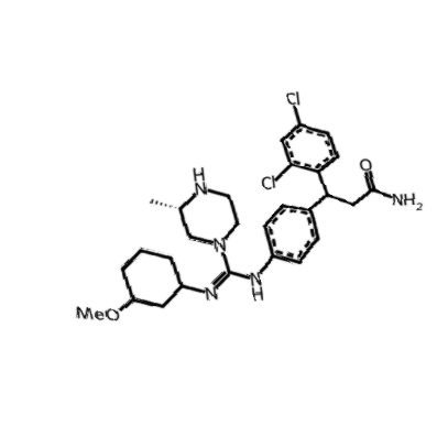 COC1CCCC(/N=C(/Nc2ccc(C(CC(N)=O)c3ccc(Cl)cc3Cl)cc2)N2CCN[C@@H](C)C2)C1